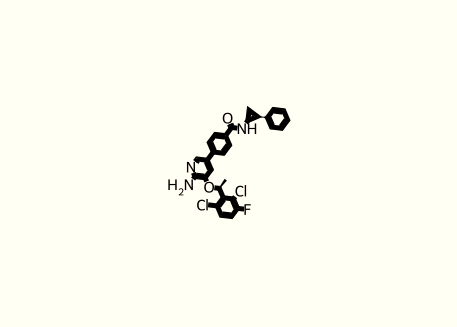 C[C@H](Oc1cc(-c2ccc(C(=O)NC3C[C@@H]3c3ccccc3)cc2)cnc1N)c1c(Cl)ccc(F)c1Cl